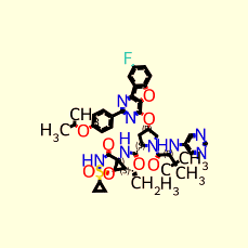 C=C[C@@H]1C[C@]1(NC(=O)[C@@H]1C[C@@H](Oc2nc(-c3ccc(OC(C)C)cc3)nc3c2oc2ccc(F)cc23)CN1C(=O)[C@@H](Nc1cncnc1)C(C)(C)C)C(=O)NS(=O)(=O)C1CC1